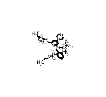 C=CCOC(=O)Nc1ccccc1CN(C(=O)OC(C)(C)C)c1cc(N2CCOCC2)cc(CSc2nnc(CC)s2)n1